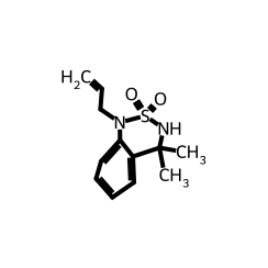 C=CCN1c2ccccc2C(C)(C)NS1(=O)=O